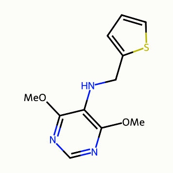 COc1ncnc(OC)c1NCc1cccs1